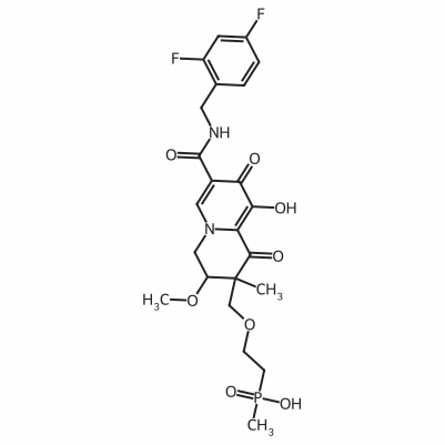 COC1Cn2cc(C(=O)NCc3ccc(F)cc3F)c(=O)c(O)c2C(=O)C1(C)COCCP(C)(=O)O